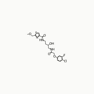 COCc1nc(C(=O)NCCC(O)CNC(=O)COc2ccc(Cl)c(F)c2)cs1